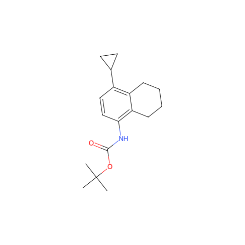 CC(C)(C)OC(=O)Nc1ccc(C2CC2)c2c1CCCC2